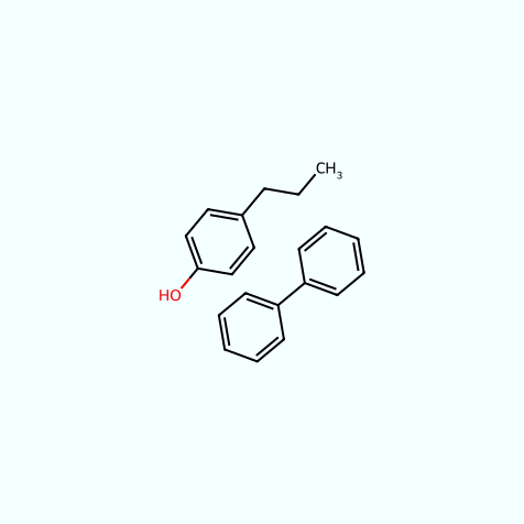 CCCc1ccc(O)cc1.c1ccc(-c2ccccc2)cc1